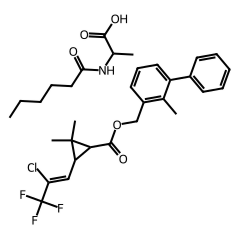 CCCCCC(=O)NC(C)C(=O)O.Cc1c(COC(=O)C2C(C=C(Cl)C(F)(F)F)C2(C)C)cccc1-c1ccccc1